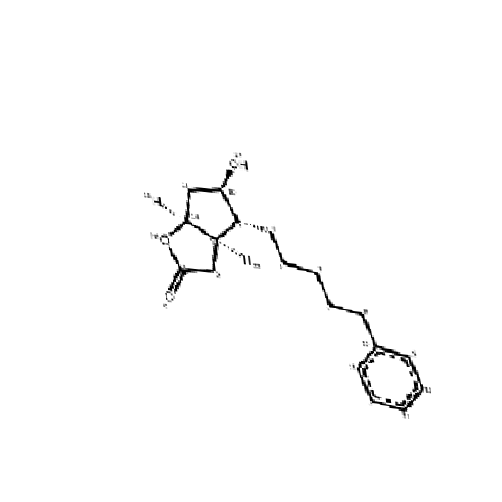 O=C1C[C@@H]2[C@@H](CCCCCc3ccccc3)[C@H](O)C[C@@H]2O1